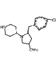 COC1CC(Cc2ccc(Cl)cc2)N(C2CCNCC2)C1